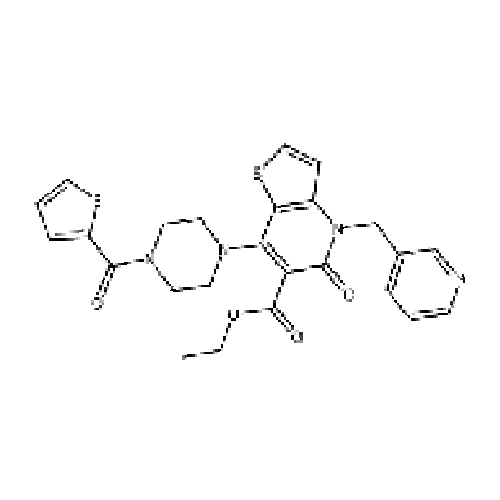 CCOC(=O)c1c(N2CCN(C(=O)c3cccs3)CC2)c2sccc2n(Cc2cccnc2)c1=O